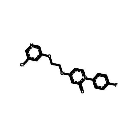 O=c1cc(OCCOc2cncc(Cl)c2)ccn1-c1ccc(F)cc1